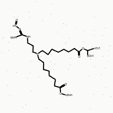 CCCCCCCCCOC(=O)CCCCCCCN(CCCCCCCC(=O)OC(CCCCCCCC)CCCCCCCC)CCCN/C(=N/[SH]=O)NC